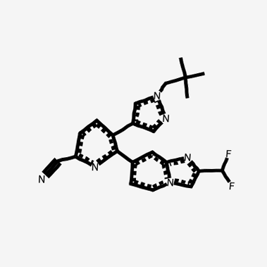 CC(C)(C)Cn1cc(-c2ccc(C#N)nc2-c2ccn3cc(C(F)F)nc3c2)cn1